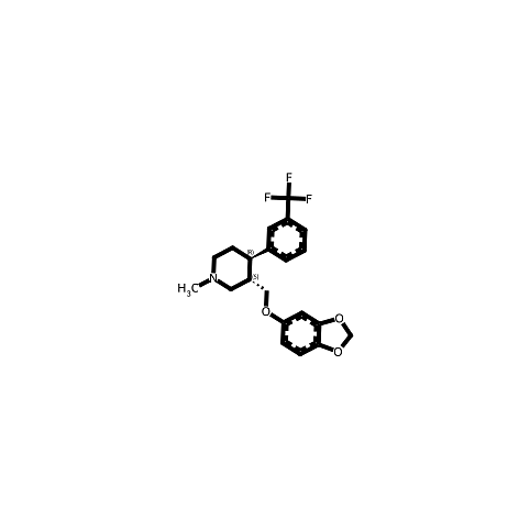 CN1CC[C@@H](c2cccc(C(F)(F)F)c2)[C@H](COc2ccc3c(c2)OCO3)C1